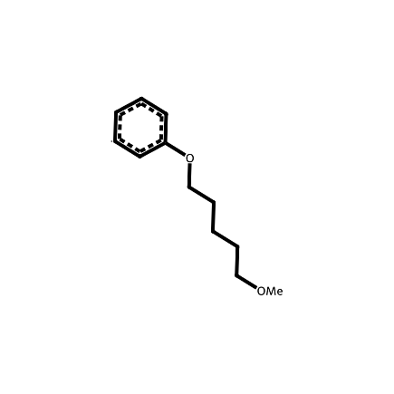 COCCCCCOc1c[c]ccc1